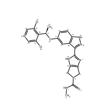 CNC(=O)N1Cc2nc(-c3n[nH]c4ccc(O[C@H](C)c5c(Cl)cncc5Cl)cc34)[nH]c2C1